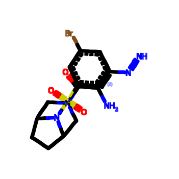 N=N/C=C(\N)C(=O)N1CC2CCC(C1)N2S(=O)(=O)c1cccc(Br)c1